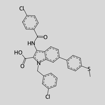 CSc1ccc(-c2ccc3c(NC(=O)c4ccc(Cl)cc4)c(C(=O)O)n(Cc4cccc(Cl)c4)c3c2)cc1